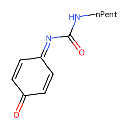 CCCCCNC(=O)N=C1C=CC(=O)C=C1